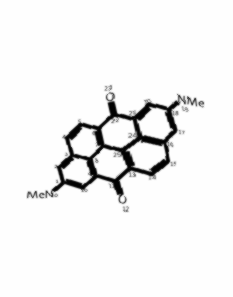 CNc1cc2ccc3c4c2c(c1)c(=O)c1ccc2cc(NC)cc(c3=O)c2c1-4